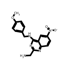 COc1ccc(CNc2nc(CN)nc3ccc([N+](=O)[O-])cc23)cc1